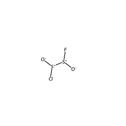 [O-][S+](F)[S+]([O-])Cl